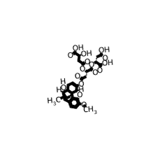 COc1ccc2c3c1O[C@H]1C(OC(=O)C[C@H](OC(=O)C[C@H](O)C(=O)O)C(=O)O[C@H](CC(=O)O)C(=O)O)=CC[C@@]4(O)[C@@H](C2)C(C)CC[C@]314